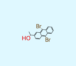 CC(O)c1ccc2c(Br)c3ccccc3c(Br)c2c1